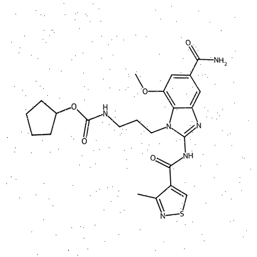 COc1cc(C(N)=O)cc2nc(NC(=O)c3csnc3C)n(CCCNC(=O)OC3CCCC3)c12